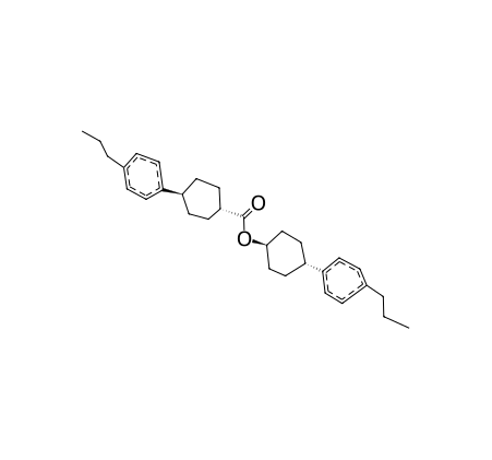 CCCc1ccc([C@H]2CC[C@H](OC(=O)[C@H]3CC[C@H](c4ccc(CCC)cc4)CC3)CC2)cc1